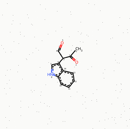 CC(=O)C([C]=O)c1c[nH]c2ccccc12